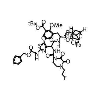 COc1c(CC(NC(=O)C(NC(=O)N2CCN(CCF)C(=O)C2=O)c2nc(NC(=O)OCc3ccccc3)sc2Cl)B2O[C@@H]3C[C@@H]4C[C@@H](C4(C)C)[C@]3(C)O2)cccc1C(=O)OC(C)(C)C